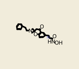 O=C(/C=C/c1ccc2c(c1)C(=O)CC1(CN(CCc3ccccc3)C1)O2)NO